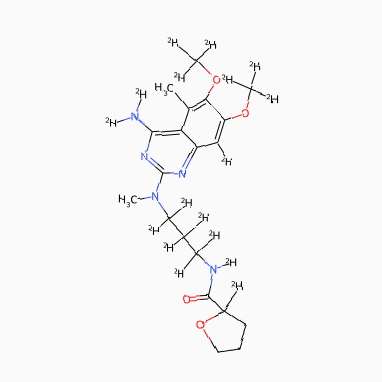 [2H]c1c(OC([2H])([2H])[2H])c(OC([2H])([2H])[2H])c(C)c2c(N([2H])[2H])nc(N(C)C([2H])([2H])C([2H])([2H])C([2H])([2H])N([2H])C(=O)C3([2H])CCCO3)nc12